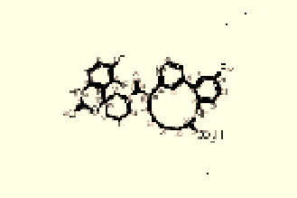 O=C1Nc2ccc(Cl)c(F)c2[C@@]2(CCCN(C(=O)[C@@H]3CCCCC(C(=O)O)Nc4ccc(F)cc4-c4ccnc3c4)C2)O1